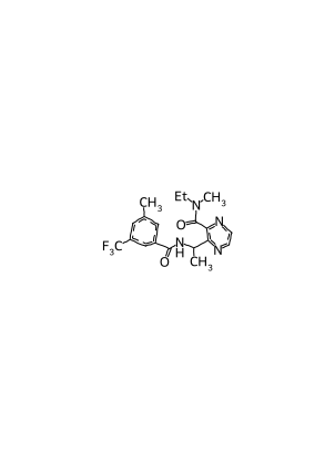 CCN(C)C(=O)c1nccnc1C(C)NC(=O)c1cc(C)cc(C(F)(F)F)c1